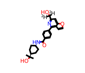 [2H]C([2H])(O)c1cc2occc2c(-c2ccc(C(=O)N[C@H]3CC[C@H](C(C)(C)O)CC3)cc2)n1